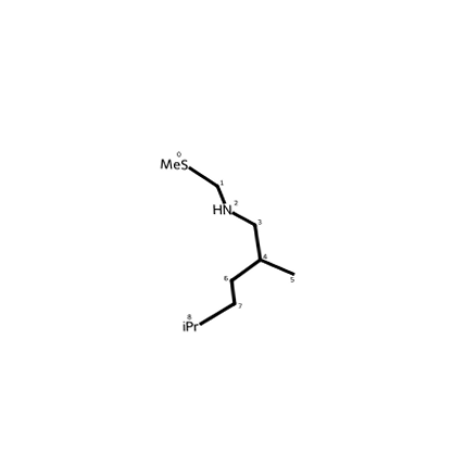 CSCNCC(C)CCC(C)C